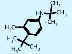 Cc1cc(NC(C)(C)C)ccc1C(C)(C)C